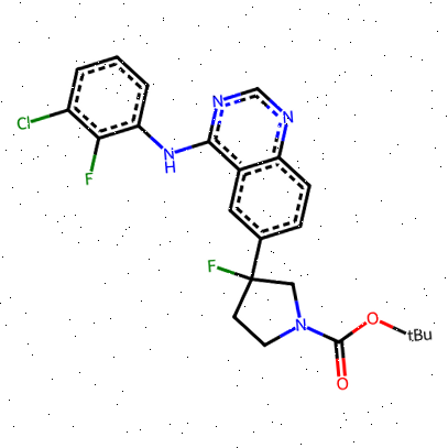 CC(C)(C)OC(=O)N1CCC(F)(c2ccc3ncnc(Nc4cccc(Cl)c4F)c3c2)C1